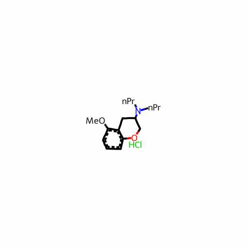 CCCN(CCC)C1COc2cccc(OC)c2C1.Cl